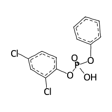 O=P(O)(Oc1ccccc1)Oc1ccc(Cl)cc1Cl